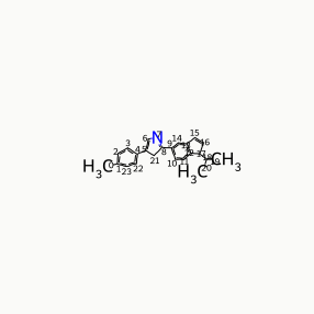 Cc1ccc(C2=CN=C(c3ccc4c(c3)C=CC4C(C)C)C2)cc1